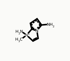 C[N+]1(N)C=Cn2c(N)ccc21